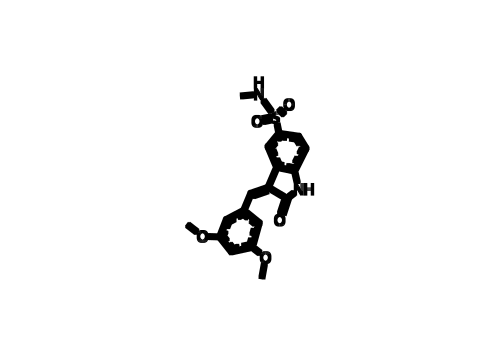 CNS(=O)(=O)c1ccc2c(c1)C(=Cc1cc(OC)cc(OC)c1)C(=O)N2